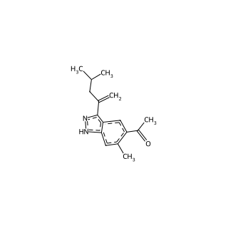 C=C(CC(C)C)c1n[nH]c2cc(C)c(C(C)=O)cc12